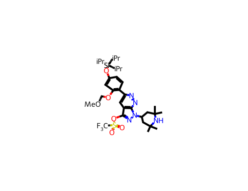 COCOc1cc(O[Si](C(C)C)(C(C)C)C(C)C)ccc1-c1cc2c(OS(=O)(=O)C(F)(F)F)nn(C3CC(C)(C)NC(C)(C)C3)c2nn1